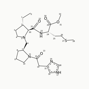 CC[C@H]1CCN(C[C@@H]2CCCN2C(=O)Cc2c[nH]cn2)[C@@H]1C(=O)N[C@@H](CCSC)C(=O)OC